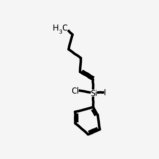 CCCC/C=C/[Si](Cl)(I)c1ccccc1